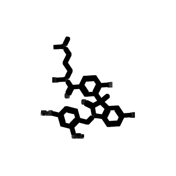 CCN(CCCN(C)C)C(=O)c1ccc(Cl)c(C2(C)C(=O)N(Cc3ccc(OC)cc3OC)c3ccc(Cl)cc32)c1